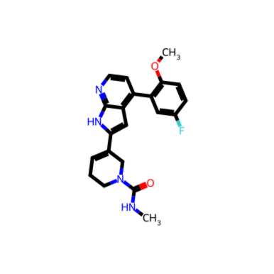 CNC(=O)N1CCC=C(c2cc3c(-c4cc(F)ccc4OC)ccnc3[nH]2)C1